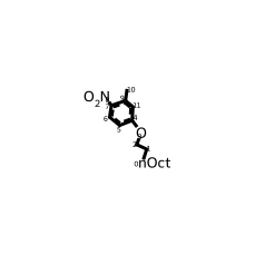 CCCCCCCCCCOc1ccc([N+](=O)[O-])c(C)c1